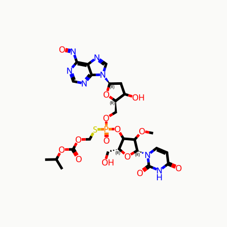 COC1C(OP(=O)(OC[C@H]2O[C@@H](n3cnc4c(N=O)ncnc43)CC2O)SCOC(=O)OC(C)C)[C@@H](CO)O[C@H]1n1ccc(=O)[nH]c1=O